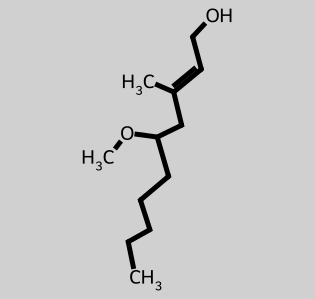 CCCCCC(C/C(C)=C/CO)OC